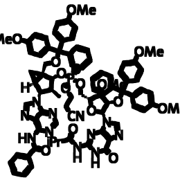 COc1ccc(C(OC[C@]23C[C@@H]2[C@@H](n2cnc4c(NC(=O)c5ccccc5)ncnc42)[C@H](C)[C@@H]3OP(=O)(OCCC#N)OC[C@H]2O[C@@H](n3cnc4c(=O)[nH]c(NC(=O)C(C)C)nc43)[C@H](OC(c3ccccc3)(c3ccc(OC)cc3)c3ccc(OC)cc3)[C@@H]2OC)(c2ccccc2)c2ccc(OC)cc2)cc1